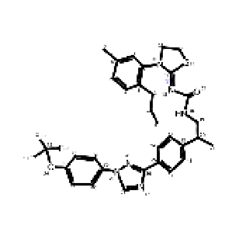 CCCc1ccc(C)cc1N1CCS/C1=N\C(=O)NCC(C)c1ccc(-c2ncn(-c3ccc(OC(F)(F)F)cc3)n2)cc1